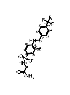 NC(=O)CNS(=O)(=O)c1ccc(NCc2ccc(C(F)(F)F)cc2)c(Br)c1